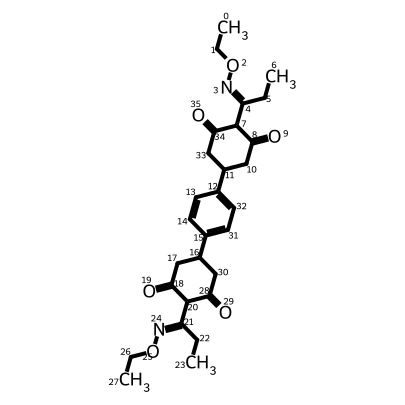 CCON=C(CC)C1C(=O)CC(c2ccc(C3CC(=O)C(C(CC)=NOCC)C(=O)C3)cc2)CC1=O